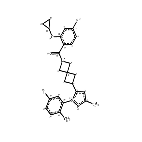 Cc1cc(C2CC3(C2)CN(C(=O)c2ccc(F)cc2OC2CC2)C3)n(-c2cc(F)ccc2C)n1